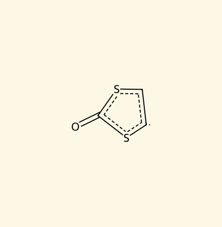 O=c1s[c]cs1